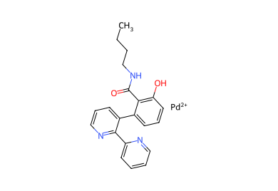 CCCCNC(=O)c1c(O)cccc1-c1cccnc1-c1ccccn1.[Pd+2]